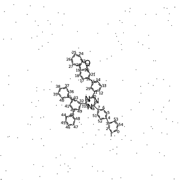 c1ccc(-c2ccc(-c3nc(-c4cccc(-c5ccc6c(c5)oc5ccccc56)c4)nc(-c4cc(-c5ccccc5)cc(-c5ccccc5)c4)n3)cc2)cc1